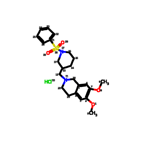 COc1cc2c(cc1OC)CN(CC1CCCN(S(=O)(=O)c3ccccc3)C1)CC2.Cl